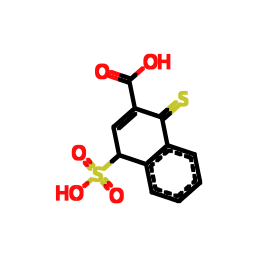 O=C(O)C1=CC(S(=O)(=O)O)c2ccccc2C1=S